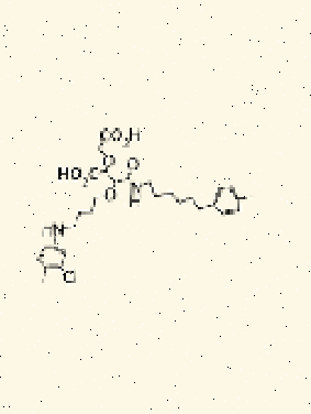 Cc1ccc(CCCCCCNC(=O)C(OCCCCNc2ccc(C)c(Cl)c2)C(OCC(=O)O)C(=O)O)cc1